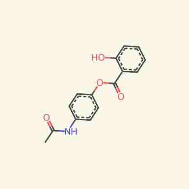 CC(=O)Nc1ccc(OC(=O)c2ccccc2O)cc1